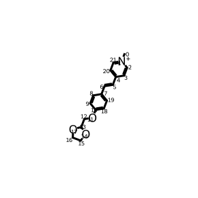 C[n+]1ccc(/C=C/c2ccc(OCC3OCCO3)cc2)cc1